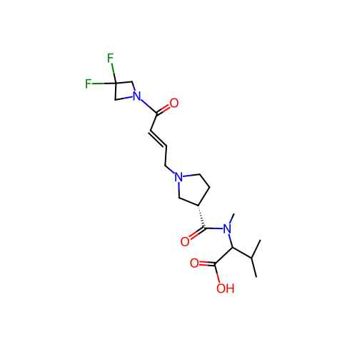 CC(C)C(C(=O)O)N(C)C(=O)[C@H]1CCN(C/C=C/C(=O)N2CC(F)(F)C2)C1